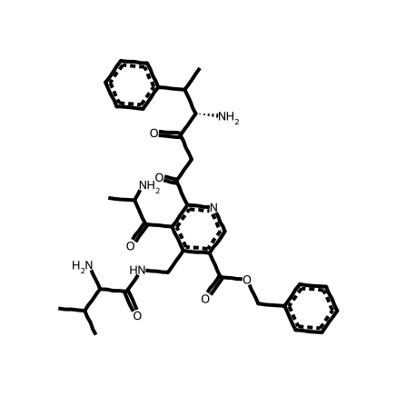 CC(N)C(=O)c1c(C(=O)CC(=O)[C@@H](N)C(C)c2ccccc2)ncc(C(=O)OCc2ccccc2)c1CNC(=O)C(N)C(C)C